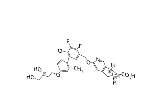 Cc1cc(OCC[C@@H](O)CO)ccc1-c1cc(COc2cc3c(cn2)[C@H]2[C@@H](C3)[C@@H]2C(=O)O)c(F)c(F)c1Cl